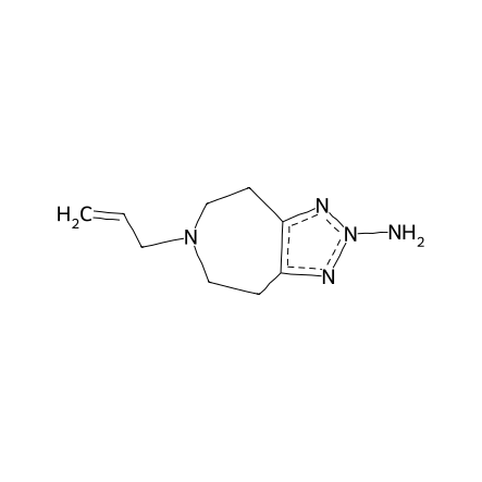 C=CCN1CCc2nn(N)nc2CC1